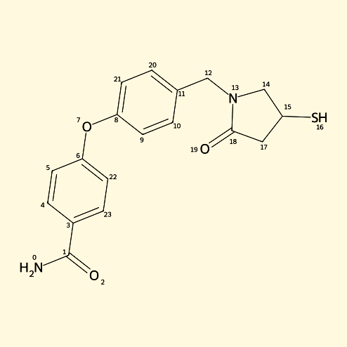 NC(=O)c1ccc(Oc2ccc(CN3CC(S)CC3=O)cc2)cc1